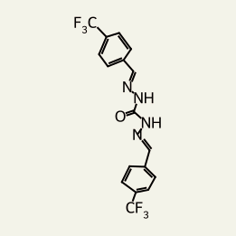 O=C(N/N=C/c1ccc(C(F)(F)F)cc1)N/N=C/c1ccc(C(F)(F)F)cc1